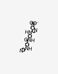 C[n+]1ccc(Nc2ccc(C(=O)Nc3ccc(Nc4ccnc5cc([N+](=O)[O-])ccc45)cc3)cc2)cc1